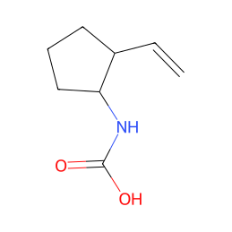 C=CC1CCCC1NC(=O)O